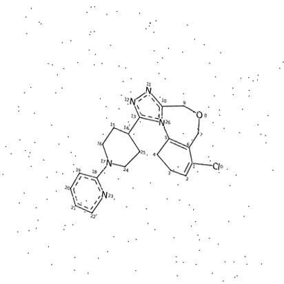 ClC1=CCCC2=C1COCc1nnc(C3CCN(c4ccccn4)CC3)n12